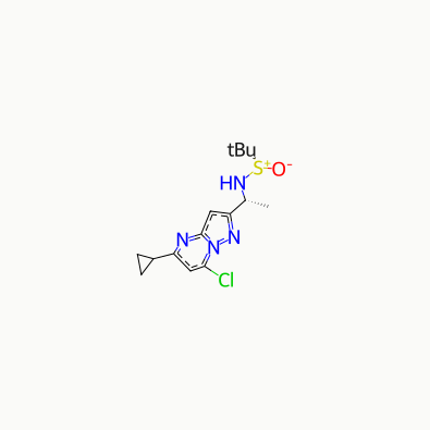 C[C@@H](N[S@+]([O-])C(C)(C)C)c1cc2nc(C3CC3)cc(Cl)n2n1